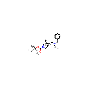 CN(Cc1ccccc1)C[C@H]1C2CN(C(=O)OC(C)(C)C)C[C@@H]21